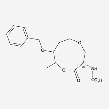 CC1OC(=O)[C@@H](NC(=O)O)COCCC1OCc1ccccc1